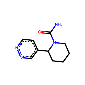 NC(=O)N1CCCCC1c1ccnnc1